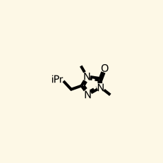 CC(C)Cc1nn(C)c(=O)n1C